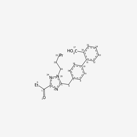 CCC(=O)c1nc(Cc2ccc(-c3ccccc3C(=O)O)cc2)n(CCC(C)C)n1